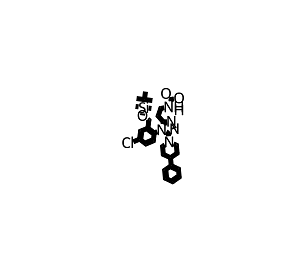 CC(C)(C)[Si](C)(C)OCc1cc(Cl)ccc1-n1c(CCNC(=O)O)nnc1N1CCC(c2ccccc2)CC1